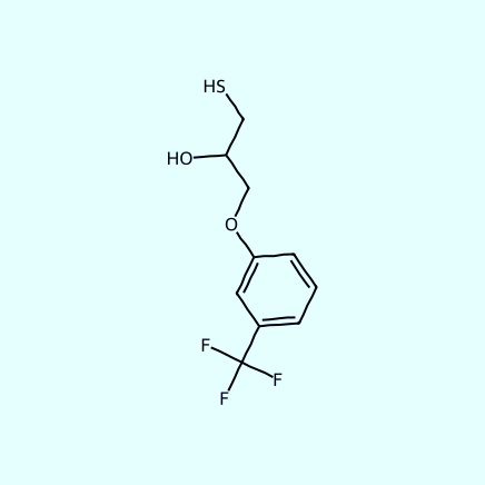 OC(CS)COc1cccc(C(F)(F)F)c1